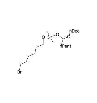 CCCCCCCCCCOC(CCCCC)O[Si](C)(C)OCCCCCCBr